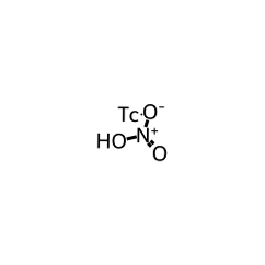 O=[N+]([O-])O.[Tc]